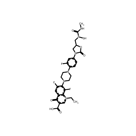 CCn1cc(C(=O)O)c(=O)c2cc(F)c(N3CCN(c4ccc(N5CC(CN(S)C(=O)NC)OC5=O)cc4F)CC3)c(F)c21